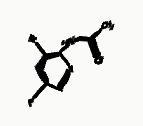 CC(=O)Nc1ncc(F)cc1Br